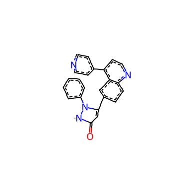 O=C1C=C(c2ccc3nccc(-c4ccncc4)c3c2)N(c2ccccc2)[N]1